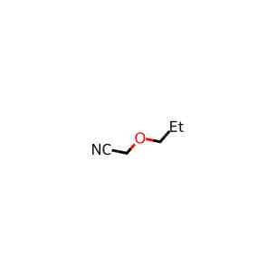 CCCOCC#N